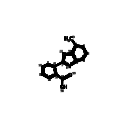 Cc1cccc2nc(-c3ccccc3C(=O)O)oc12